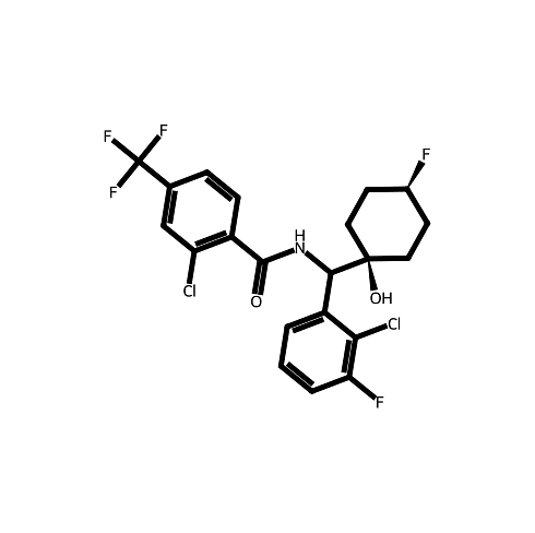 O=C(NC(c1cccc(F)c1Cl)[C@]1(O)CC[C@@H](F)CC1)c1ccc(C(F)(F)F)cc1Cl